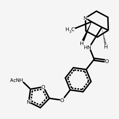 CC(=O)Nc1ncc(Oc2ccc(C(=O)N[C@@H]3C4CCN(CC4)[C@H]3C)cc2)o1